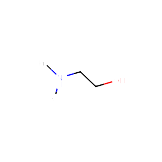 [CH2-][NH+](CCO)C(C)C